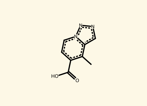 Cc1c(C(=O)O)ccn2nncc12